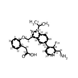 CC(C)n1nc(COc2ccccc2CC(=O)O)c2cc(-c3ccnc(CN)c3F)ccc21